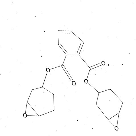 O=C(OC1CCC2OC2C1)c1ccccc1C(=O)OC1CCC2OC2C1